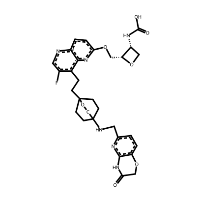 O=C(O)N[C@@H]1CO[C@@H]1COc1ccc2ncc(F)c(CCC34CCC(NCc5ccc6c(n5)NC(=O)CO6)(CC3)CO4)c2n1